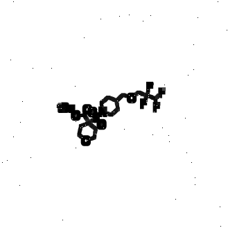 CC(C)(C)OC(=O)C1(S(=O)(=O)N2CCC(COCC(F)(F)C(F)F)CC2)CCOCC1